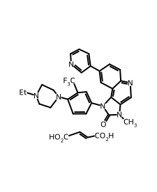 CCN1CCN(c2ccc(-n3c(=O)n(C)c4cnc5ccc(-c6cccnc6)cc5c43)cc2C(F)(F)F)CC1.O=C(O)C=CC(=O)O